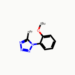 CCCc1nnnn1-c1ccccc1OC(C)(C)C